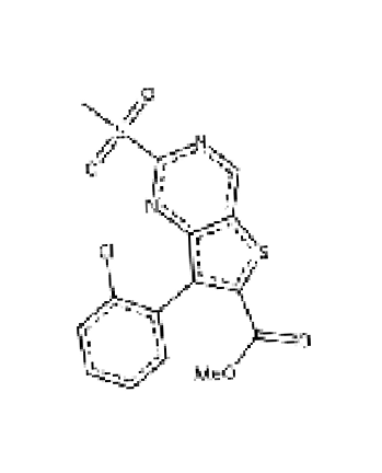 COC(=O)c1sc2cnc(S(C)(=O)=O)nc2c1-c1ccccc1Cl